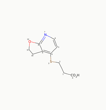 O=C(O)CCSc1ccnc2c1CCO2